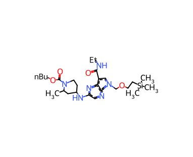 CCCCOC(=O)N1CCC(Nc2cnc3c(n2)c(C(=O)NCC)cn3COCC[Si](C)(C)C)CC1C